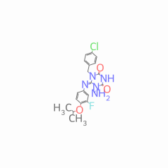 CC(C)Oc1ccc(/N=c2\n(N)c(=O)[nH]c(=O)n2Cc2ccc(Cl)cc2)cc1F